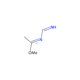 CO/C(C)=N/C=N